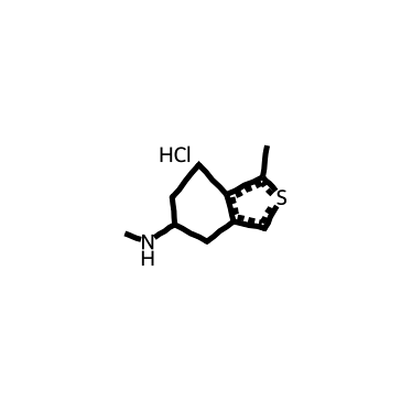 CNC1CCc2c(csc2C)C1.Cl